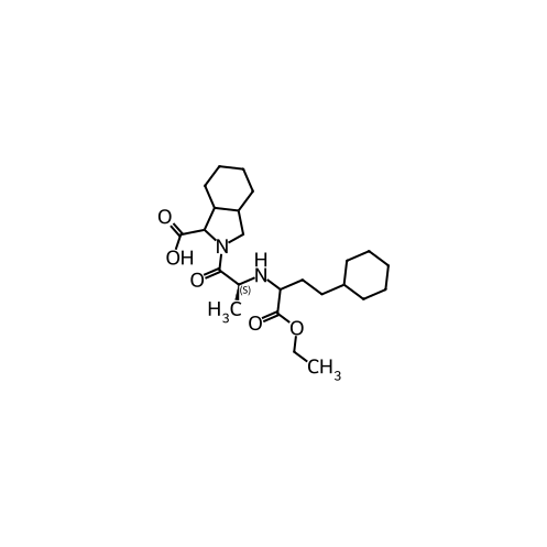 CCOC(=O)C(CCC1CCCCC1)N[C@@H](C)C(=O)N1CC2CCCCC2C1C(=O)O